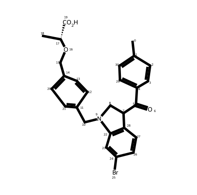 Cc1ccc(C(=O)C2CN(Cc3ccc(CO[C@H](C)C(=O)O)cc3)c3cc(Br)ccc32)cc1